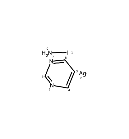 NI.[Ag].c1cncnc1